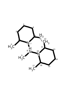 CC1CCCC(C)N1[SiH](C)N1C(C)CCCC1C